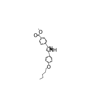 CCCCCOc1ccc(-c2cc(-c3ccc(C(=O)OC)cc3)n[nH]2)cc1